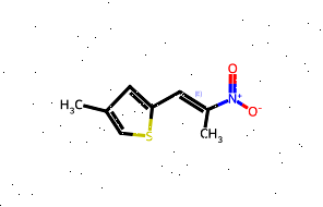 C/C(=C\c1cc(C)cs1)[N+](=O)[O-]